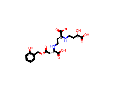 O=C(C[C@H](NCC[C@H](NCC[C@H](O)C(=O)O)C(=O)O)C(=O)O)OCc1ccccc1O